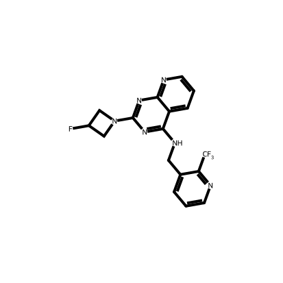 FC1CN(c2nc(NCc3cccnc3C(F)(F)F)c3cccnc3n2)C1